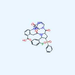 CC1(C)CCCN(C(=O)C2CC(S(=O)(=O)c3ccccc3)C(c3ccccc3F)N2C(=O)Cc2c(NC(N)=O)cccc2C(=O)O)C1